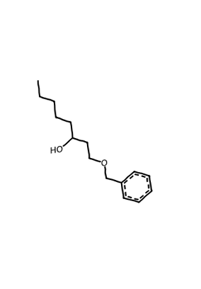 CCCCCC(O)CCOCc1ccccc1